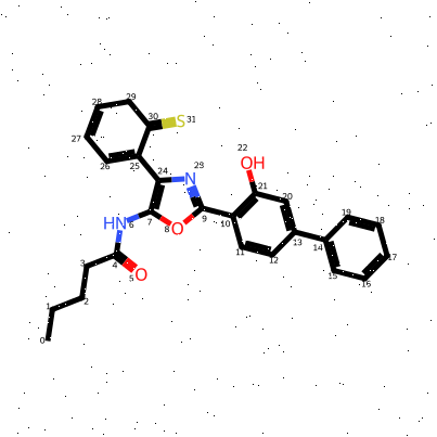 CCCCC(=O)Nc1oc(-c2ccc(-c3ccccc3)cc2O)nc1C1=CC=CCC1=S